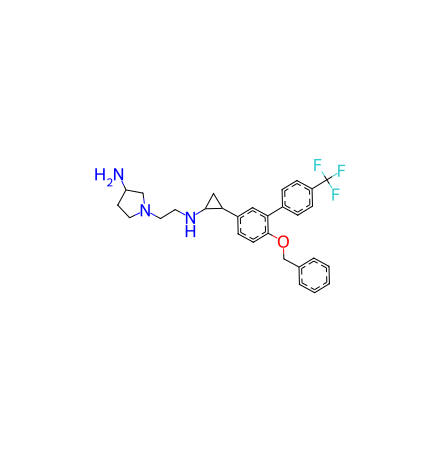 NC1CCN(CCNC2CC2c2ccc(OCc3ccccc3)c(-c3ccc(C(F)(F)F)cc3)c2)C1